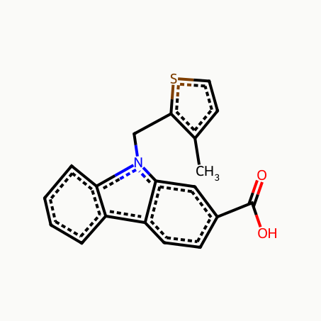 Cc1ccsc1Cn1c2ccccc2c2ccc(C(=O)O)cc21